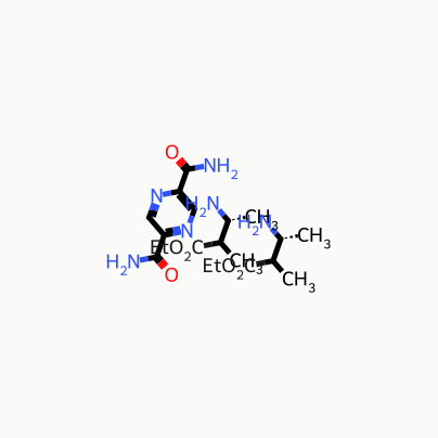 CCOC(=O)C(C)[C@@H](C)N.CCOC(=O)C(C)[C@@H](C)N.NC(=O)c1cnc(C(N)=O)cn1